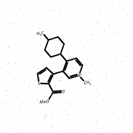 COC(=O)c1sccc1-c1c[n+](C)ccc1C1CCC(C)CC1